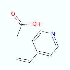 C=Cc1ccncc1.CC(=O)O